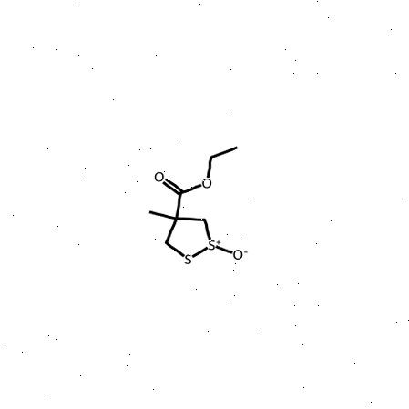 CCOC(=O)C1(C)CS[S+]([O-])C1